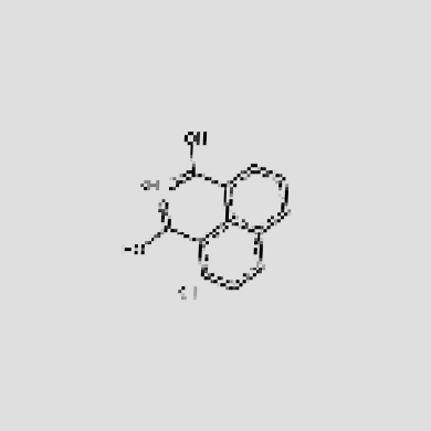 O=C(O)c1cccc2cccc(C(=O)O)c12.[KH].[KH]